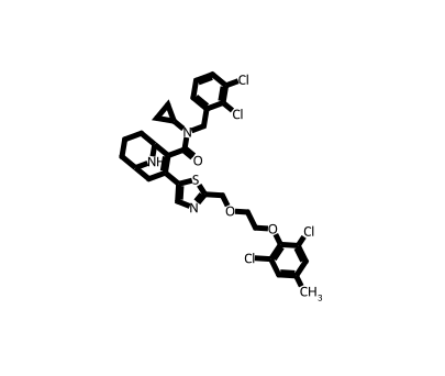 Cc1cc(Cl)c(OCCOCc2ncc(C3=C(C(=O)N(Cc4cccc(Cl)c4Cl)C4CC4)C4CCCC(C3)N4)s2)c(Cl)c1